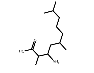 CC(C)CCCC(C)CC(N)C(C)C(=O)O